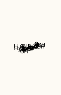 CC(C)(C)C1CC(COc2ccc(-c3ccc4c(c3)OCS4(O)O)cc2F)CCN1C(=O)O